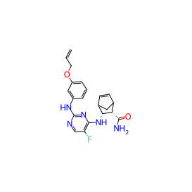 C=CCOc1cccc(Nc2ncc(F)c(N[C@@H]3C4C=CC(C4)[C@@H]3C(N)=O)n2)c1